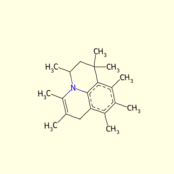 CC1=C(C)N2c3c(c(C)c(C)c(C)c3C(C)(C)CC2C)C1